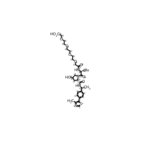 Cc1ncsc1-c1ccc([C@H](C)NC(=O)[C@@H]2C[C@@H](O)CN2C(=O)[C@@H](NC(=O)COCCOCCOCCOCC(=O)O)C(C)(C)C)cc1